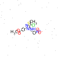 COC(=O)c1ccc(-c2nc(NCc3cccc([N+](=O)[O-])c3)c3c(Cl)c(C)sc3n2)cc1